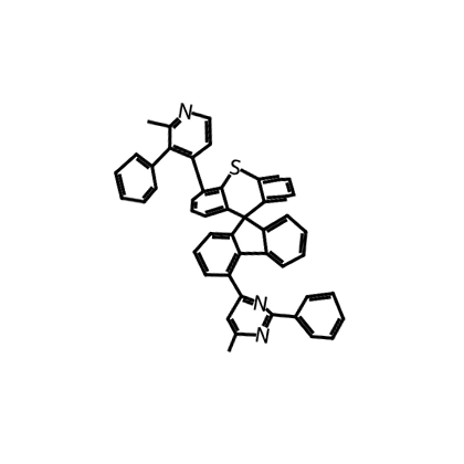 Cc1cc(-c2cccc3c2-c2ccccc2C32c3ccccc3Sc3c(-c4ccnc(C)c4-c4ccccc4)cccc32)nc(-c2ccccc2)n1